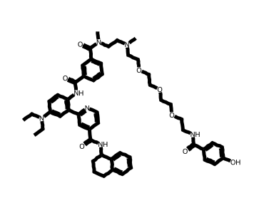 CCN(CC)c1ccc(NC(=O)c2cccc(C(=O)N(C)CCN(C)CCOCCOCCOCCNC(=O)c3ccc(O)cc3)c2)c(-c2cc(C(=O)NC3CCCc4ccccc43)ccn2)c1